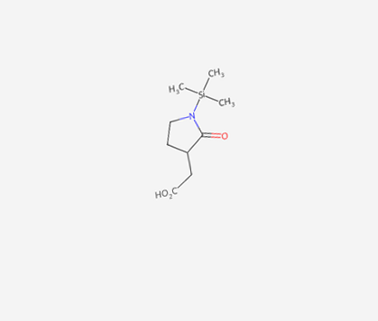 C[Si](C)(C)N1CCC(CC(=O)O)C1=O